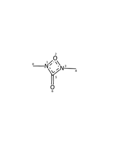 Cn1on(C)c1=O